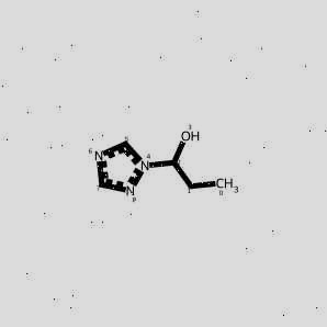 CCC(O)n1cncn1